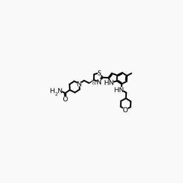 Cc1cc(NCC2CCOCC2)c2[nH]c(C3=N[C@@H](CCN4CCC(C(N)=O)CC4)CS3)cc2c1